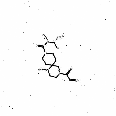 C=CC(=O)N1CCN(CCC)C2(CCN(C(=O)N(C(C)=O)[C@H](C(=O)O)C(C)C)CC2)C1